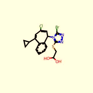 OC(O)CSc1nnc(Br)n1C1C=C(Cl)C=C(C2CC2)c2ccccc21